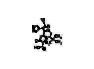 CC(C)(C)[C@@H]1Cn2nc(C3CC3)c(-c3cnsc3)c2-c2cc(=O)c(C(=O)O)cn21